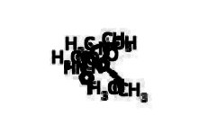 C[C@H](CO)N1C[C@H](C)[C@H](CN(C)C(=O)Nc2ccc(F)cc2)Oc2ncc(C#CCN(C)C)cc2C1=O